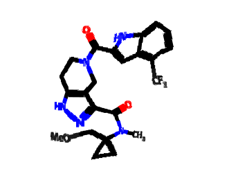 COCC1(N(C)C(=O)c2n[nH]c3c2CN(C(=O)c2cc4c(C(F)(F)F)cccc4[nH]2)CC3)CC1